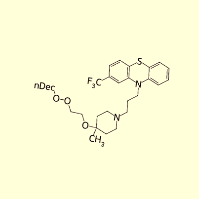 CCCCCCCCCCOOCCOC1(C)CCN(CCCN2c3ccccc3Sc3ccc(C(F)(F)F)cc32)CC1